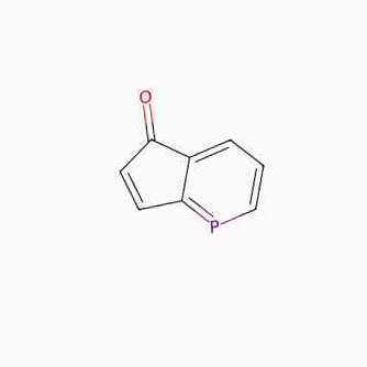 O=C1C=Cc2pcccc21